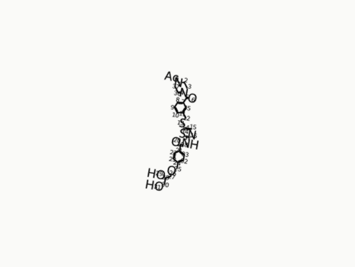 CC(=O)N1CCN(C(=O)c2cccc(CSc3cnc(NC(=O)c4ccc(COCC(O)CO)cc4)s3)c2)CC1